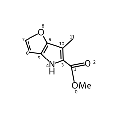 COC(=O)c1[nH]c2ccoc2c1C